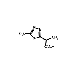 CC(C(=O)O)c1nnc(N)s1